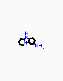 NC1=CCC2NC3CCCCN3C2=C1